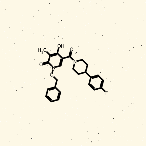 Cc1c(O)c(C(=O)N2CCC(c3ccc(F)cc3)CC2)cn(OCc2ccccc2)c1=O